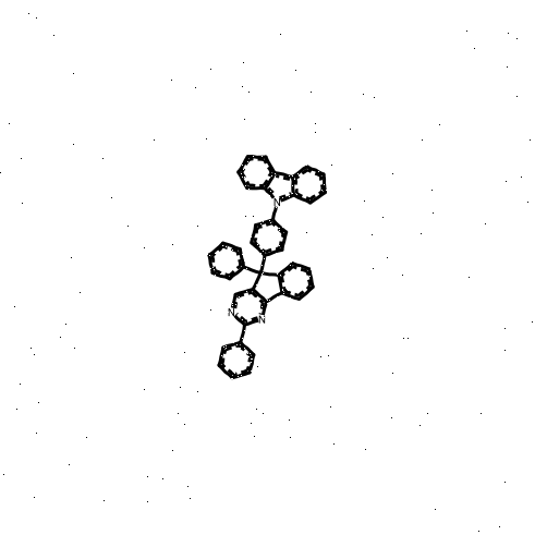 c1ccc(-c2ncc3c(n2)-c2ccccc2C3(c2ccccc2)c2ccc(-n3c4ccccc4c4ccccc43)cc2)cc1